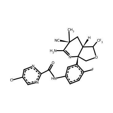 C[C@]1(C#N)C[C@@H]2C(C(F)(F)F)OC[C@]2(c2cc(NC(=O)c3ncc(Cl)cn3)ccc2F)N=C1N